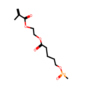 C=C(C)C(=O)OCCOC(=O)CCCCO[PH](C)=O